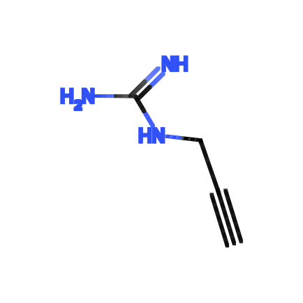 C#CCNC(=N)N